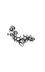 C[C@@]1(N2CCN(c3cc4cc(NC(=O)[C@@H]5CCCO5)ncc4cc3Cl)CC2)COC[C@@H]1O